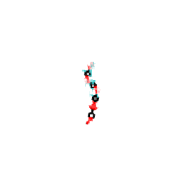 CCOC1CCC(C2COC(c3ccc(C(F)(F)Oc4cc(F)c(C(F)(F)Oc5cc(F)c(C(F)(F)OC(F)(F)F)c(F)c5)c(F)c4)c(F)c3)OC2)CC1